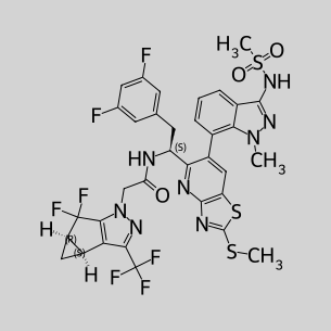 CSc1nc2nc([C@H](Cc3cc(F)cc(F)c3)NC(=O)Cn3nc(C(F)(F)F)c4c3C(F)(F)[C@@H]3C[C@H]43)c(-c3cccc4c(NS(C)(=O)=O)nn(C)c34)cc2s1